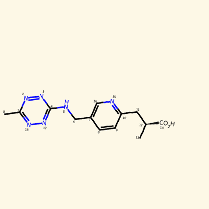 Cc1nnc(NCc2ccc(C[C@H](C)C(=O)O)nc2)nn1